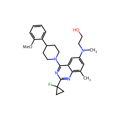 COc1ccccc1C1CCN(c2nc(C3(F)CC3)nc3c(C)cc(N(C)CCO)cc23)CC1